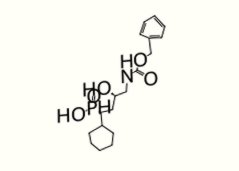 O=C(NC[C@H](O)CC(C1CCCCC1)[PH](=O)O)OCc1ccccc1